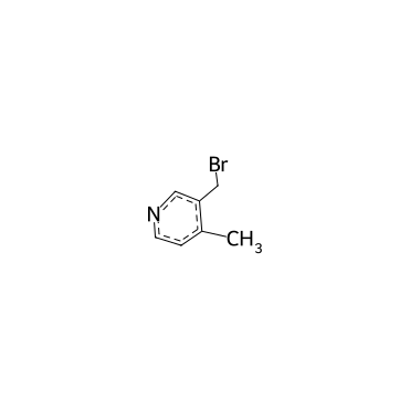 Cc1ccncc1CBr